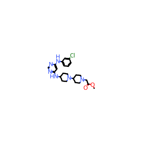 COC(=O)CN1CCC(N2CCC(Nc3cc(Nc4cccc(Cl)c4)ncn3)CC2)CC1